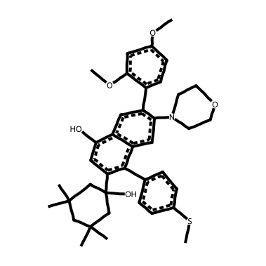 COc1ccc(-c2cc3c(O)cc(C4(O)CC(C)(C)CC(C)(C)C4)c(-c4ccc(SC)cc4)c3cc2N2CCOCC2)c(OC)c1